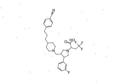 N#Cc1ccc(CCCC2CCN(CC3CN(C(CC(F)(F)F)C(=O)O)CC3c3cccc(F)c3)CC2)cc1